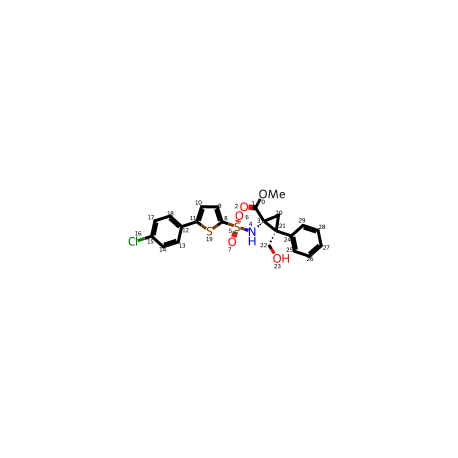 COC(=O)[C@@]1(NS(=O)(=O)c2ccc(-c3ccc(Cl)cc3)s2)C[C@@]1(CO)c1ccccc1